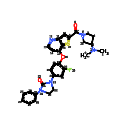 CN(C)C1CCN(C(=O)c2cc3nccc(Oc4ccc(N5CCN(c6ccccc6)C5=O)cc4F)c3s2)C1